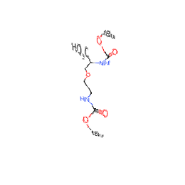 CC(C)(C)OC(=O)NCCOCC(NC(=O)OC(C)(C)C)C(=O)O